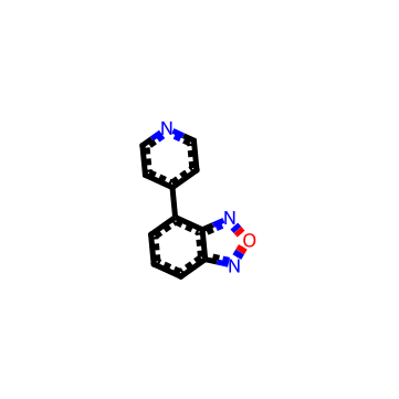 c1cc(-c2ccncc2)c2nonc2c1